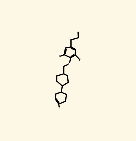 CCCc1cc(F)c(OCC2CCC(C3CC=C(F)CC3)CC2)c(F)c1